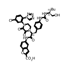 CC[C@H](C)[C@@H](CO)NC(=O)Nc1ccc(C[C@@H](C(=O)Nc2ccc3oc(C(=O)O)cc3c2)N2CCN(c3cc(Cl)ccc3-n3cnnn3)C(=O)C2=O)cc1